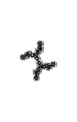 Cc1cc(N(c2ccc(-c3ccc(N(c4ccc(-c5sc(-c6ccccc6)cc5C)c(C)c4)c4ccc(-c5sc(-c6ccccc6)cc5C)c(C)c4)cc3)cc2)c2ccc(-c3sc(-c4ccccc4)cc3C)c(C)c2)ccc1-c1sc(-c2ccccc2)cc1C